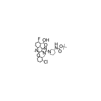 Cn1c(=O)c2c(nc(N3CCC[C@@H](NC(=O)OC(C)(C)C)C3)n2Cc2ccccc2Cl)c2c(C(=O)O)c(F)ccc21